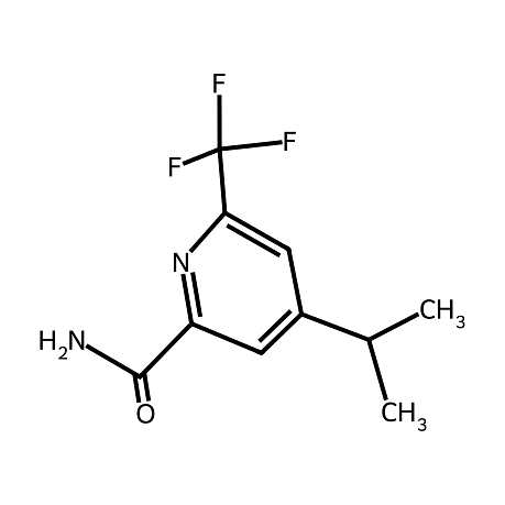 CC(C)c1cc(C(N)=O)nc(C(F)(F)F)c1